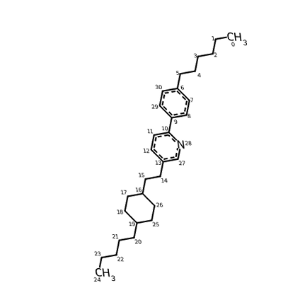 CCCCCCc1ccc(-c2ccc(CCC3CCC(CCCCC)CC3)cn2)cc1